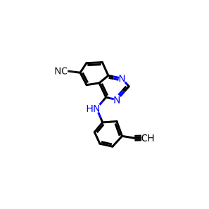 C#Cc1cccc(Nc2ncnc3ccc(C#N)cc23)c1